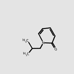 CC(C)Cn1ccccc1=O